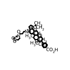 C=C(C)[C@@H]1CC[C@]2(CNCCC(=O)N3CCS(=O)(=O)C3)CC[C@]3(C)[C@H](CC[C@@H]4[C@@]5(C)CC=C(c6ccc(C(=O)O)cc6)C(C)(C)[C@@H]5CC[C@]43C)[C@@H]12